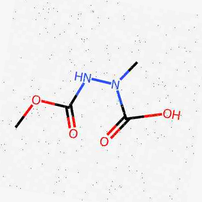 COC(=O)NN(C)C(=O)O